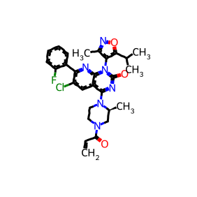 C=CC(=O)N1CCN(c2nc(=O)n(-c3c(C)noc3C(C)C)c3nc(-c4ccccc4F)c(Cl)cc23)[C@@H](C)C1